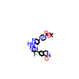 CN1CCc2cc(-c3nc(Nc4ccc(N5CCN(C(=O)OC(C)(C)C)CC5)cn4)ncc3F)ccc2C1=O